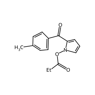 CCC(=O)On1cccc1C(=O)c1ccc(C)cc1